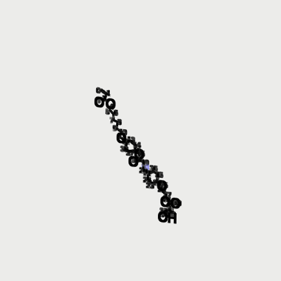 C=CC(=O)OCCCCCCOc1ccc(OC(=O)/C=C/c2ccc(OCCOC(=O)C(=C)CO)cc2)cc1